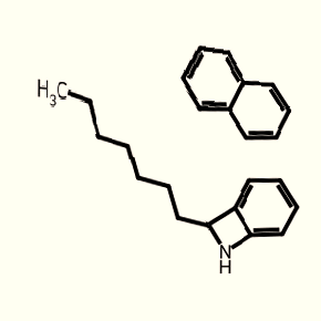 CCCCCCCC1Nc2ccccc21.c1ccc2ccccc2c1